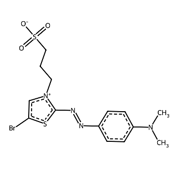 CN(C)c1ccc(/N=N/c2sc(Br)c[n+]2CCCS(=O)(=O)[O-])cc1